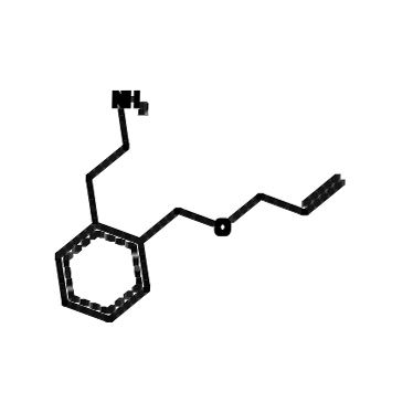 C=CCOCc1ccccc1CCN